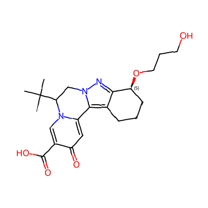 CC(C)(C)C1Cn2nc3c(c2-c2cc(=O)c(C(=O)O)cn21)CCC[C@@H]3OCCCO